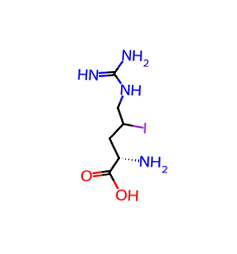 N=C(N)NCC(I)C[C@H](N)C(=O)O